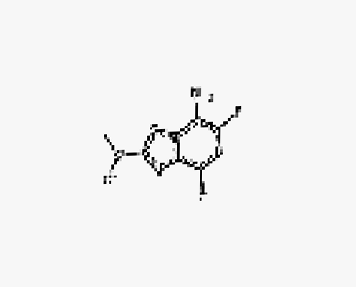 C[S+]([O-])c1nc2c(Cl)cc(F)c(N)c2s1